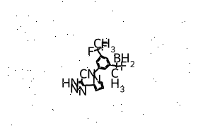 BC(C)(F)c1cc(Cn2cccc2-c2nn[nH]c2C#N)cc(C(C)(F)F)c1